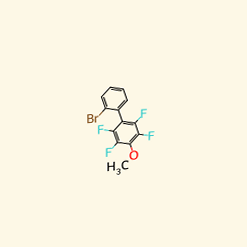 COc1c(F)c(F)c(-c2ccccc2Br)c(F)c1F